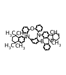 CC1(C)CCC(C)(C)c2cc(N3c4ccc5c(c4)N(c4ccccc4Oc4ccccc43)c3ccc4c6c3B5c3ccccc3N6C3(C)CCCCC43C)ccc21